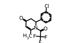 CC1=CC(=O)CC(c2cccc(Cl)c2)N1C(=O)C(F)(F)F